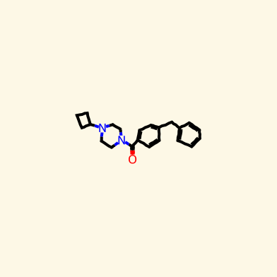 O=C(c1ccc(Cc2ccccc2)cc1)N1CCN(C2CCC2)CC1